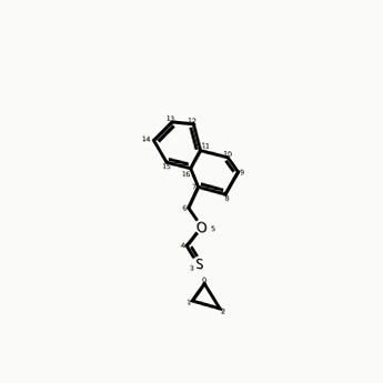 C1CC1.S=COCc1cccc2ccccc12